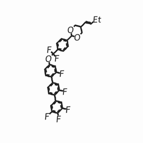 CC/C=C/C1COC(c2ccc(C(F)(F)Oc3ccc(-c4ccc(-c5cc(F)c(F)c(F)c5)c(F)c4)c(F)c3)cc2)OC1